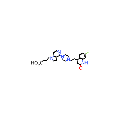 O=C(O)CCCn1ccc2c(N3CCN(CCC4CC(=O)Nc5cc(F)ccc54)CC3)nccc21